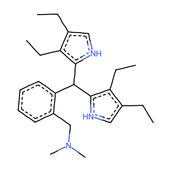 CCc1c[nH]c(C(c2ccccc2CN(C)C)c2[nH]cc(CC)c2CC)c1CC